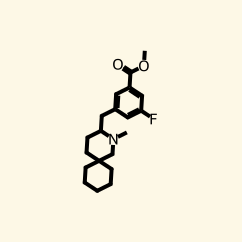 COC(=O)c1cc(F)cc(CC2CCC3(CCCCC3)CN2C)c1